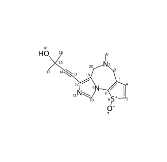 CN1Cc2cc[s+]([O-])c2-n2cnc(C#CC(C)(C)O)c2C1